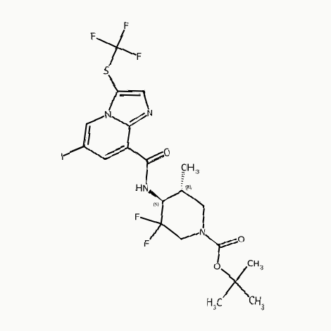 C[C@@H]1CN(C(=O)OC(C)(C)C)CC(F)(F)[C@H]1NC(=O)c1cc(I)cn2c(SC(F)(F)F)cnc12